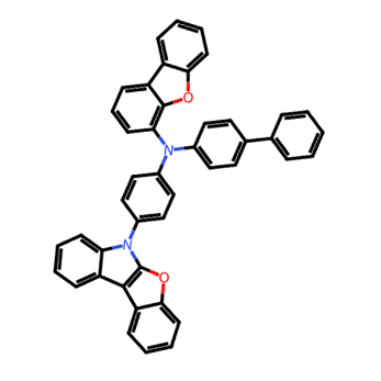 c1ccc(-c2ccc(N(c3ccc(-n4c5ccccc5c5c6ccccc6oc54)cc3)c3cccc4c3oc3ccccc34)cc2)cc1